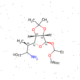 CCCCCCCCCOC(CC)O[C@H]1O[C@H]([C@H](C)C(N)CCCCCCCC)[C@@H]2OC(C)(C)O[C@H]12